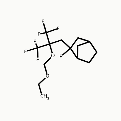 CCOCOC(CC1(F)CC2CCC1C2)(C(F)(F)F)C(F)(F)F